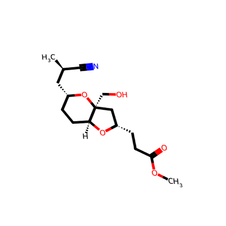 COC(=O)CC[C@H]1C[C@]2(CO)O[C@@H](C[C@@H](C)C#N)CC[C@@H]2O1